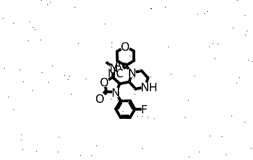 CC(=O)N(C)C1OC(=O)N(c2cccc(F)c2)C1C1CNCCN1C1(C#N)CCOCC1